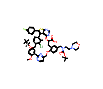 COc1ccccc1-c1nccc(COc2ccc(CN(CCN3CCOCC3)C(=O)OC(C)(C)C)cc2CC(Oc2ncnc3sc(-c4ccc(F)cc4)c(-c4ccc(CO[Si](C)(C)C(C)(C)C)c(Cl)c4C)c23)C(=O)O)n1